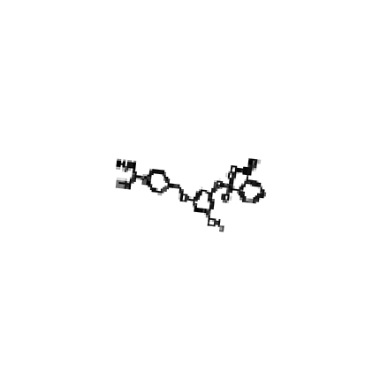 Cc1cc(OCC2CCN(C(=N)N)CC2)cc(OS(=O)(=O)c2ccccc2[N+](=O)[O-])c1